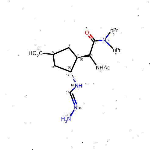 CCCN(CCC)C(=O)C(NC(C)=O)[C@@H]1CC(C(=O)O)C[C@H]1NC=NN